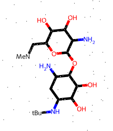 CNCC1OC(OC2C(N)CC(NC(C)(C)C)C(O)C2O)C(N)C(O)C1O